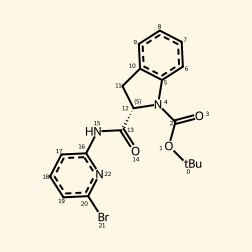 CC(C)(C)OC(=O)N1c2ccccc2C[C@H]1C(=O)Nc1cccc(Br)n1